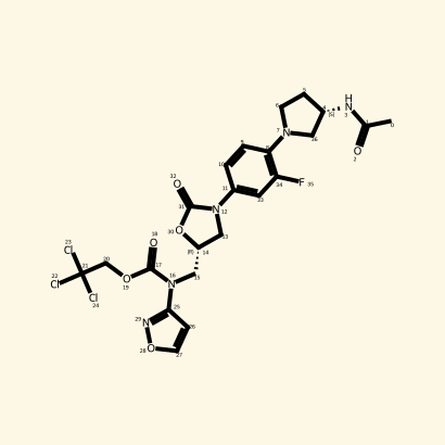 CC(=O)N[C@H]1CCN(c2ccc(N3C[C@H](CN(C(=O)OCC(Cl)(Cl)Cl)c4ccon4)OC3=O)cc2F)C1